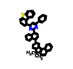 CC1(C)c2ccc(-c3ccc(-c4nc(-c5ccccc5)cc(-c5cccc6sc7ccccc7c56)n4)c4ccccc34)cc2-c2c1ccc1ccccc21